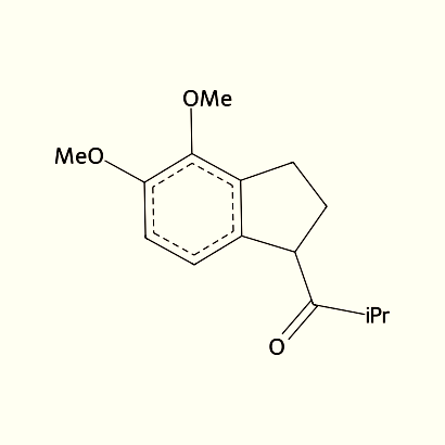 COc1ccc2c(c1OC)CCC2C(=O)C(C)C